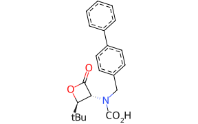 CC(C)(C)[C@H]1OC(=O)[C@@H]1N(Cc1ccc(-c2ccccc2)cc1)C(=O)O